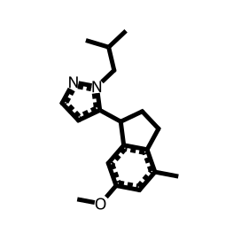 COc1cc(C)c2c(c1)C(c1ccnn1CC(C)C)CC2